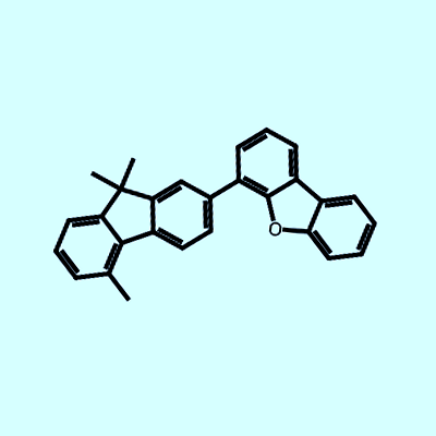 Cc1cccc2c1-c1ccc(-c3cccc4c3oc3ccccc34)cc1C2(C)C